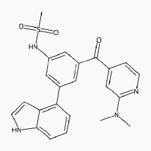 CN(C)c1cc(C(=O)c2cc(NS(C)(=O)=O)cc(-c3cccc4[nH]ccc34)c2)ccn1